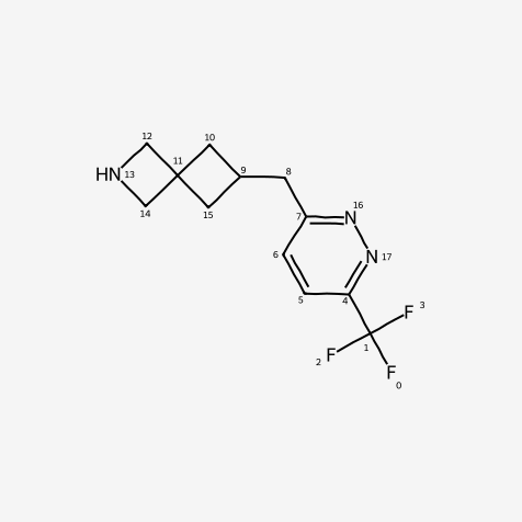 FC(F)(F)c1ccc(CC2CC3(CNC3)C2)nn1